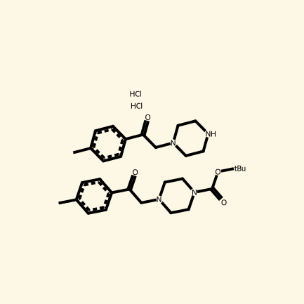 Cc1ccc(C(=O)CN2CCN(C(=O)OC(C)(C)C)CC2)cc1.Cc1ccc(C(=O)CN2CCNCC2)cc1.Cl.Cl